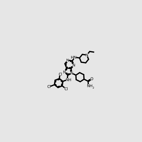 CCN1CCCC(Nc2ncc3nc(Nc4c(Cl)cc(Cl)cc4Cl)n(C4CCC(C(N)=O)CC4)c3n2)C1